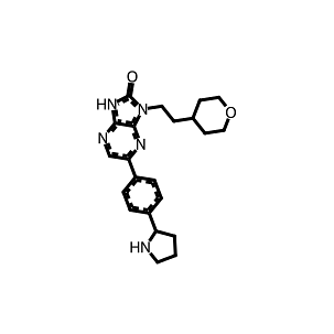 O=c1[nH]c2ncc(-c3ccc(C4CCCN4)cc3)nc2n1CCC1CCOCC1